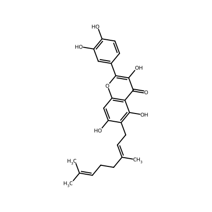 CC(C)=CCC/C(C)=C/Cc1c(O)cc2oc(-c3ccc(O)c(O)c3)c(O)c(=O)c2c1O